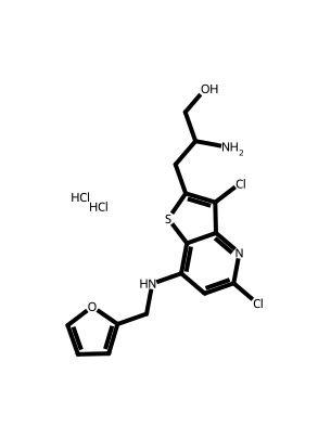 Cl.Cl.NC(CO)Cc1sc2c(NCc3ccco3)cc(Cl)nc2c1Cl